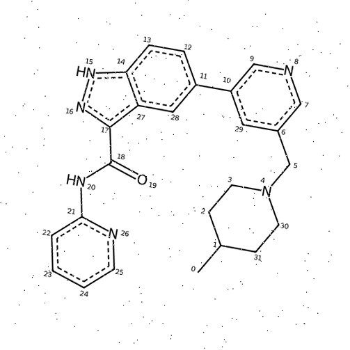 CC1CCN(Cc2cncc(-c3ccc4[nH]nc(C(=O)Nc5ccccn5)c4c3)c2)CC1